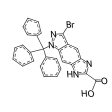 O=C(O)c1nc2cc3c(Br)nn(C(c4ccccc4)(c4ccccc4)c4ccccc4)c3cc2[nH]1